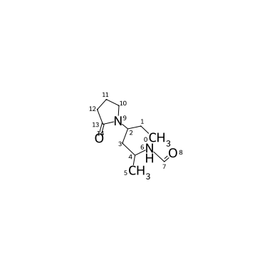 CCC(CC(C)NC=O)N1CCCC1=O